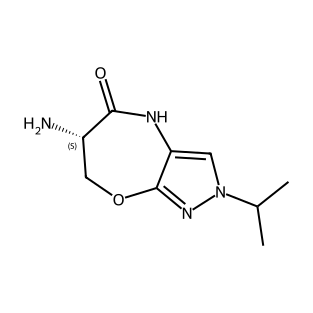 CC(C)n1cc2c(n1)OC[C@H](N)C(=O)N2